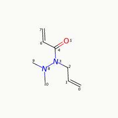 C=CCN(C(=O)C=C)N(C)C